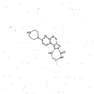 C[C@@H]1CNc2c(sc3ccc4nc(N5CCNCC5)ccc4c23)C(=O)N1